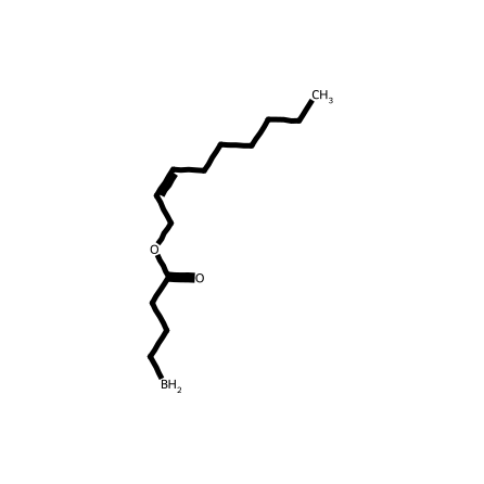 BCCCC(=O)OC/C=C\CCCCCC